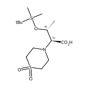 C[C@@H](O[Si](C)(C)C(C)(C)C)[C@@H](C(=O)O)N1CCS(=O)(=O)CC1